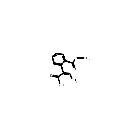 CC=C(C(=O)O)c1ccccc1C(=O)OC